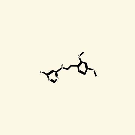 COc1cc(SC)ccc1CCNc1cc(Cl)ncn1